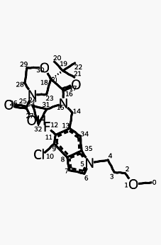 COCCCn1ccc2c(Cl)c(F)c(CN(C(=O)[C@@]3(C(C)(C)C)CN(C(=O)O)CCO3)C3CC3)cc21